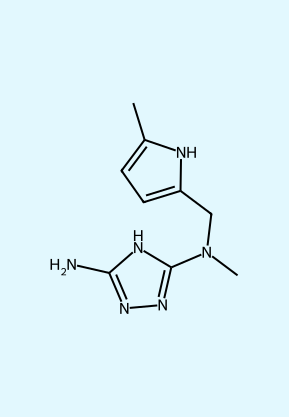 Cc1ccc(CN(C)c2nnc(N)[nH]2)[nH]1